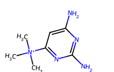 C[N+](C)(C)c1cc(N)nc(N)n1